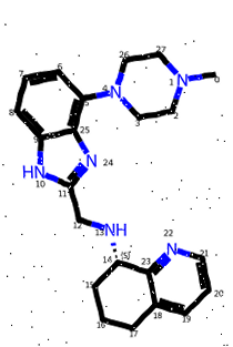 CN1CCN(c2cccc3[nH]c(CN[C@H]4CCCc5cccnc54)nc23)CC1